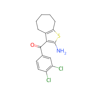 Nc1sc2c(c1C(=O)c1ccc(Cl)c(Cl)c1)CCCCC2